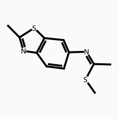 CSC(C)=Nc1ccc2nc(C)sc2c1